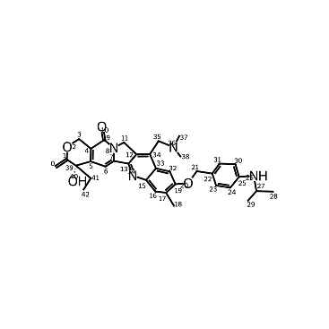 C=C1OCc2c(cc3n(c2=O)Cc2c-3nc3cc(C)c(OCc4ccc(NC(C)C)cc4)cc3c2CN(C)C)[C@@]1(O)CC